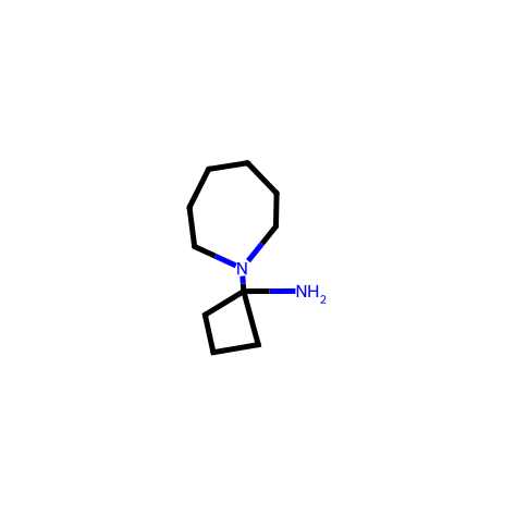 NC1(N2CCCCCC2)CCC1